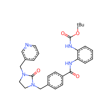 CC(C)(C)OC(=O)Nc1ccccc1NC(=O)c1ccc(CN2CCN(Cc3cccnc3)C2=O)cc1